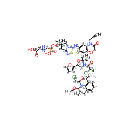 C#CCN1C(=O)COc2cc(F)c(/N=c3\snc4n3CC(C)(C)C4)cc21.CC1(C)OC(c2ccco2)CN1C(=O)C(Cl)Cl.CCc1cccc(CC)c1N(COC)C(=O)CCl.O=C(O)CNCP(=O)(O)O